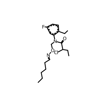 CCCCCC=NOCN(C(=O)C(Cl)CC)c1cc(F)ccc1CC